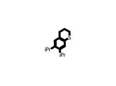 CC(C)c1cc2c(cc1C(C)C)SCCC2